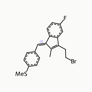 CSc1ccc(/C=C2\C(C)=C(CCBr)c3cc(F)ccc32)cc1